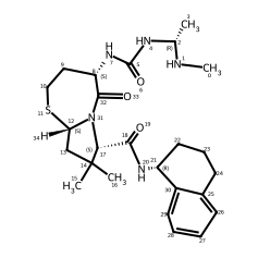 CN[C@@H](C)NC(=O)N[C@H]1CCS[C@H]2CC(C)(C)[C@@H](C(=O)N[C@@H]3CCCc4ccccc43)N2C1=O